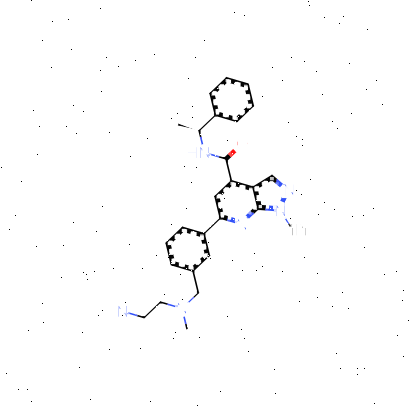 CC(C)n1ncc2c(C(=O)N[C@@H](C)c3ccccc3)cc(-c3cccc(CN(C)CCN)c3)nc21